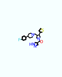 O=C(c1cn[nH]c1)N1CC(CN2CCC(c3ccc(F)cc3)CC2)C(c2ccsc2)C1